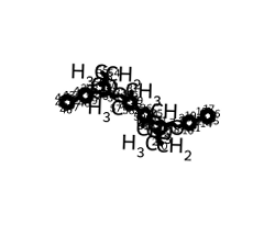 C=C(C)C(=O)OC(COc1ccc(-c2ccccc2)cc1)COc1c(C)cc(-c2cc(C)c(OCC(COc3ccc(-c4ccccc4)cc3)OC(=O)C(=C)C)c(C)c2)cc1C